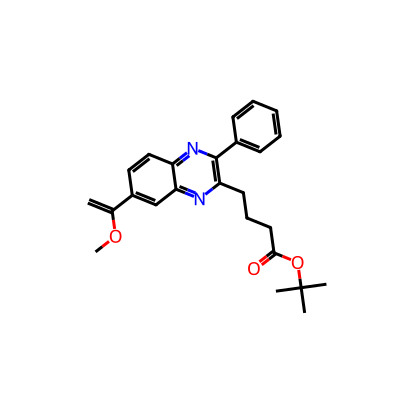 C=C(OC)c1ccc2nc(-c3ccccc3)c(CCCC(=O)OC(C)(C)C)nc2c1